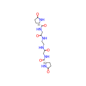 O=C(CNC(=O)[C@@H]1CCC(=O)N1)NCCNC(=O)CNC(=O)[C@@H]1CCC(=O)N1